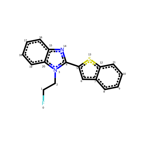 FCCn1c(-c2cc3ccccc3s2)nc2ccccc21